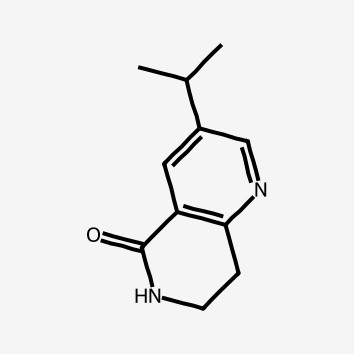 CC(C)c1cnc2c(c1)C(=O)NCC2